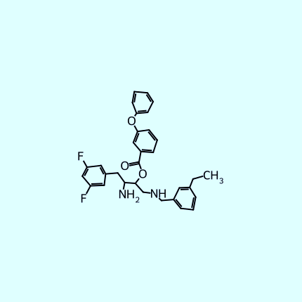 CCc1cccc(CNCC(OC(=O)c2cccc(Oc3ccccc3)c2)C(N)Cc2cc(F)cc(F)c2)c1